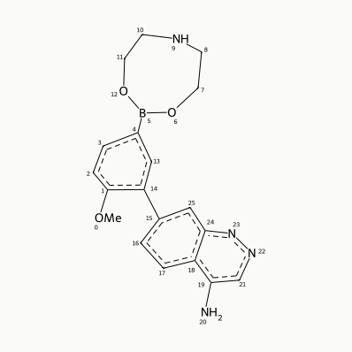 COc1ccc(B2OCCNCCO2)cc1-c1ccc2c(N)cnnc2c1